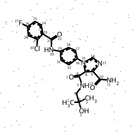 CC(C)(O)CNC(=O)c1c(C(N)=O)ncn1-c1ccc(NC(=O)c2ccc(F)cc2Cl)cc1